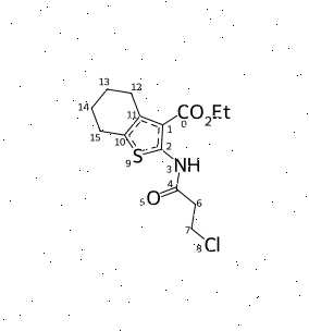 CCOC(=O)c1c(NC(=O)CCCl)sc2c1CCCC2